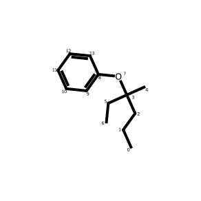 CCCC(C)(CC)Oc1ccccc1